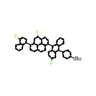 CC(C)(C)c1ccc(-c2c3ccccc3c(-c3ccc4c(F)cc5c(-c6ccc(F)c7ccccc67)ccc6ccc3c4c65)c3ccc(F)cc23)cc1